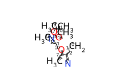 C=C/C=C(C#N)\C(=C/C)OCCCN(C)C(=O)OC(C)(C)C